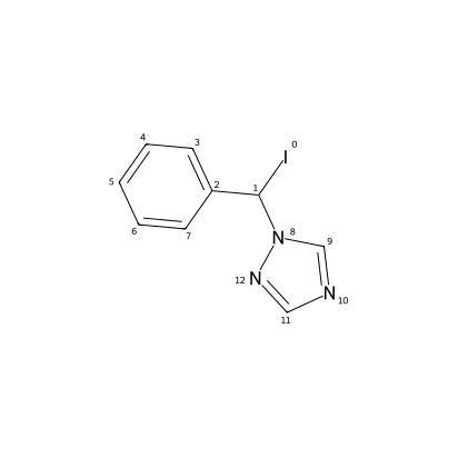 IC(c1ccccc1)n1cncn1